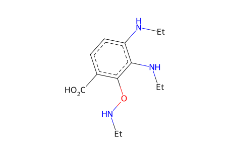 CCNOc1c(C(=O)O)ccc(NCC)c1NCC